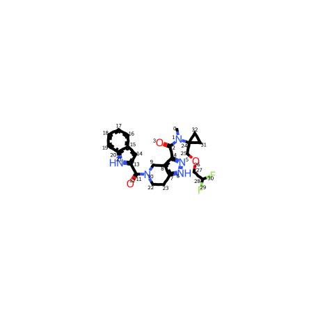 CN(C(=O)c1n[nH]c2c1CN(C(=O)c1cc3ccccc3[nH]1)CC2)C1(COCC(F)F)CC1